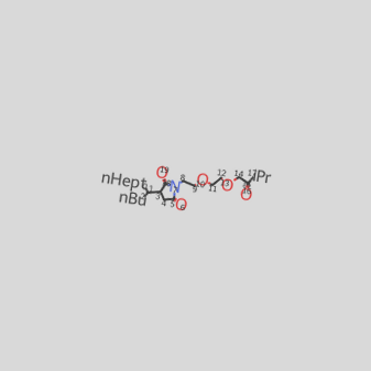 CCCCCCCC(CCCC)C1CC(=O)N(CCOCCOCC(=O)C(C)C)C1=O